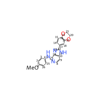 COc1ccc(Nc2nccc3[nH]c(-c4ccc5c(c4)OCCO5)nc23)cc1